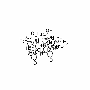 C=C1C[C@H]2[C@@H]3CCC4=CC(=O)C=C[C@]4(C)[C@@]3(F)[C@@H](O)C[C@]2(C)[C@@]1(O)C(=O)CO.CC(C)(C)C(=O)O.C[C@@H]1C[C@H]2[C@@H]3C[C@H](F)C4=CC(=O)C=C[C@]4(C)[C@@]3(F)[C@@H](O)C[C@]2(C)[C@@]1(O)C(=O)CO